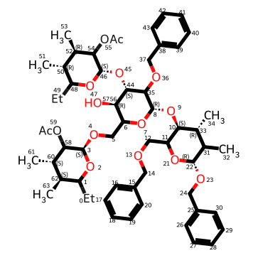 CCC1O[C@H](OCC2O[C@@H](O[C@@H]3C(COCc4ccccc4)O[C@@H](OCc4ccccc4)C(C)[C@H]3C)C(OCc3ccccc3)[C@@H](O[C@@H]3OC(CC)[C@H](C)[C@@H](C)C3OC(C)=O)[C@@H]2O)C(OC(C)=O)[C@@H](C)[C@@H]1C